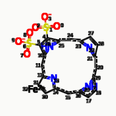 O=S(=O)([O-])c1c(S(=O)(=O)[O-])c2cc3nc(cc4ccc(cc5nc(cc1[nH]2)C=C5)[nH]4)C=C3.[Fe+2]